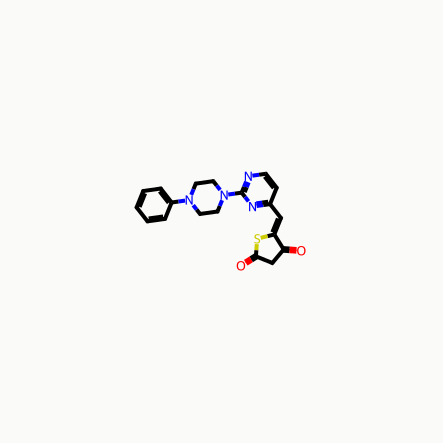 O=C1CC(=O)C(=Cc2ccnc(N3CCN(c4ccccc4)CC3)n2)S1